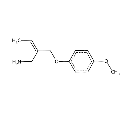 C/C=C(\CN)COc1ccc(OC)cc1